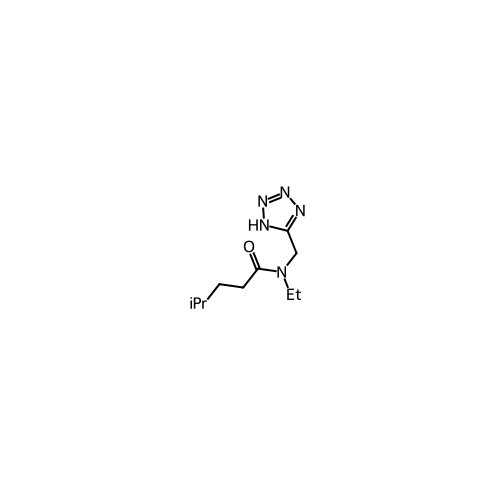 CCN(Cc1nnn[nH]1)C(=O)CCC(C)C